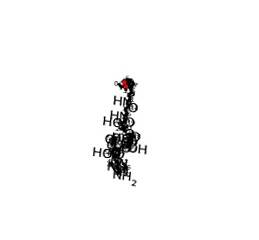 CCC1(C)CCC2CC1(SCCNC(=O)CCNC(=O)[C@H](O)C(C)(C)COP(=O)(O)OP(=O)(O)OC[C@H]1O[C@@H](n3cnc4c(N)ncnc43)[C@H](O)[C@@H]1OP(=O)(O)O)C2(C)C